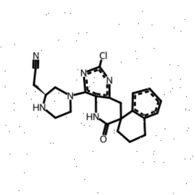 N#CC[C@H]1CN(c2nc(Cl)nc3c2NC(=O)C2(CCCc4ccccc42)C3)CCN1